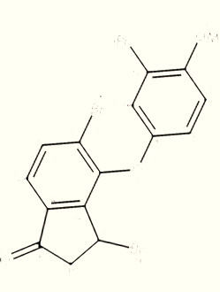 COc1ccc(Oc2c(Br)ccc3c2C(Br)CC3=O)cc1C(C)C